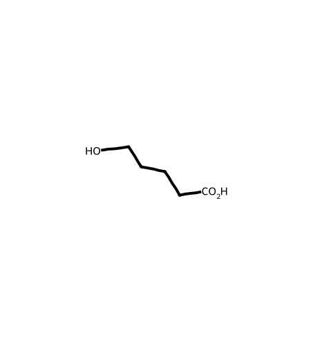 O=C(O)CCCCO